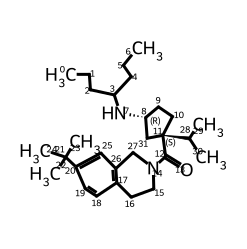 CCCC(CCC)N[C@@H]1CC[C@@](C(=O)N2CCc3ccc(C(C)(C)C)cc3C2)(C(C)C)C1